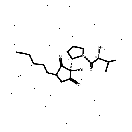 CCCCCC1CC(=O)C(O)([C@@H]2CCCN2C(=O)[C@@H](N)C(C)C)C1=O